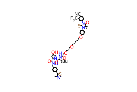 Cc1ncsc1-c1ccc(CNC(=O)[C@@H]2C[C@@H](O)CN2C(=O)C(NC(=O)COCCCOCCCCCOc2ccc(N3C(=S)N(c4ccc(C#N)c(C(F)(F)F)c4)C(=O)C3(C)C)cc2)C(C)(C)C)cc1